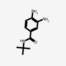 CC(C)(C)NC(=O)c1ccc(N)c(N)c1